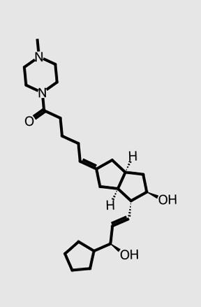 CN1CCN(C(=O)CCCC=C2C[C@H]3C[C@@H](O)[C@H](C=C[C@@H](O)C4CCCC4)[C@H]3C2)CC1